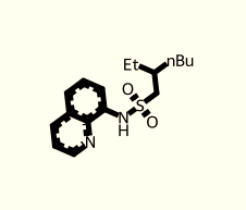 CCCCC(CC)CS(=O)(=O)Nc1cccc2cccnc12